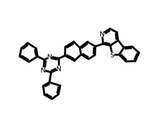 c1ccc(-c2nc(-c3ccccc3)nc(-c3ccc4cc(-c5nccc6c5sc5ccccc56)ccc4c3)n2)cc1